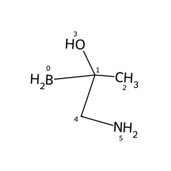 BC(C)(O)CN